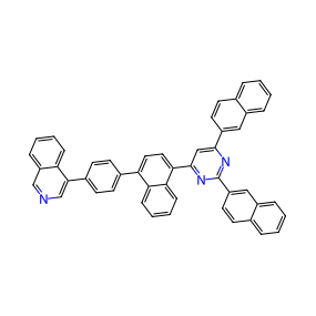 c1ccc2cc(-c3cc(-c4ccc(-c5ccc(-c6cncc7ccccc67)cc5)c5ccccc45)nc(-c4ccc5ccccc5c4)n3)ccc2c1